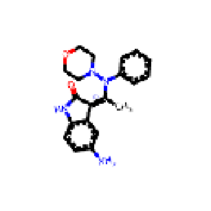 C/C(=C1/C(=O)Nc2ccc(N)cc21)N(c1ccccc1)N1CCOCC1